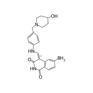 Bc1ccc2c(c1)/C(=C/Nc1ccc(CN3CCC(O)CC3)cc1)C(=O)NC2=O